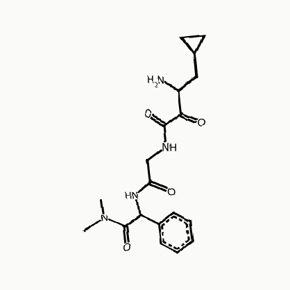 CN(C)C(=O)C(NC(=O)CNC(=O)C(=O)C(N)CC1CC1)c1ccccc1